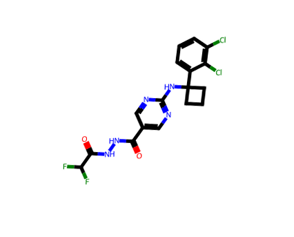 O=C(NNC(=O)C(F)F)c1cnc(NC2(c3cccc(Cl)c3Cl)CCC2)nc1